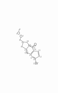 COOCC1Cc2nc3cc(Br)ccc3c(=O)n2C1